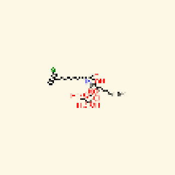 CCCCCCCCCCCCCC[C@@H](O)[C@@H](O)[C@H](COC1OC(CO)C(O)C(O)C1O)NC1(CCCCCCCCCCC23C4C5C6C4C2C6(Br)C53)COC1